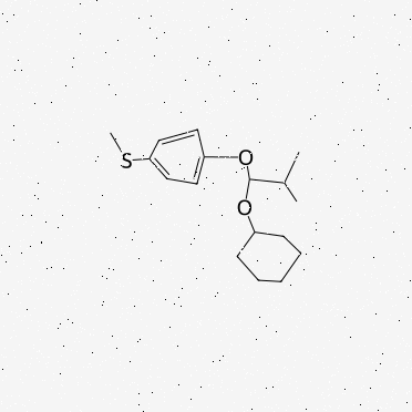 CSc1ccc(OC(OC2CCCCC2)C(C)C)cc1